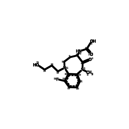 CN1C(=O)C(NC(=O)O)CCN(CCCO)c2c(F)cccc21